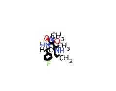 C=C/C=C\c1[nH]c(C)c(C2=C(NCCc3ccc(F)cc3)C(=O)N(C)C2=O)c1C